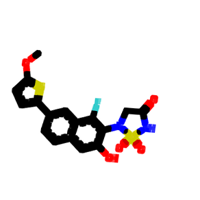 COc1ccc(-c2ccc3cc(O)c(N4CC(=O)NS4(=O)=O)c(F)c3c2)s1